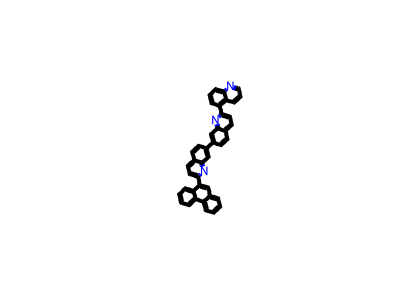 c1ccc2c(c1)cc(-c1ccc3ccc(-c4ccc5ccc(-c6cccc7ncccc67)nc5c4)cc3n1)c1ccccc12